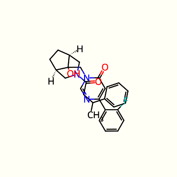 CC(CC(=O)N1C[C@H]2CC[C@@H](C1)C2(O)Cn1cnc(-c2ccccc2F)cc1=O)c1ccccc1